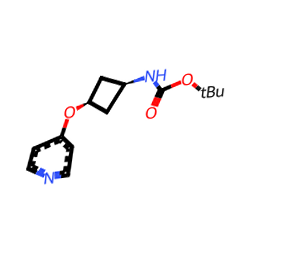 CC(C)(C)OC(=O)N[C@H]1C[C@@H](Oc2ccncc2)C1